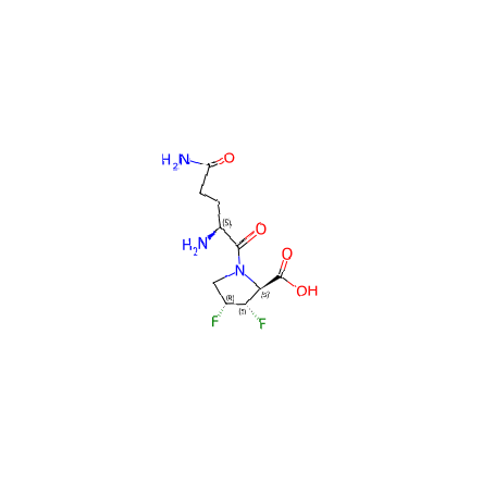 NC(=O)CC[C@H](N)C(=O)N1C[C@@H](F)[C@@H](F)[C@@H]1C(=O)O